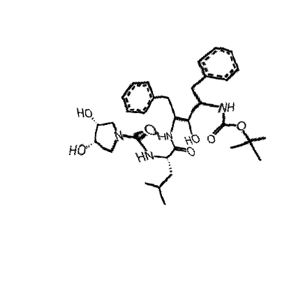 CC(C)C[C@H](NC(=O)N1C[C@@H](O)[C@@H](O)C1)C(=O)NC(Cc1ccccc1)C(O)C(Cc1ccccc1)NC(=O)OC(C)(C)C